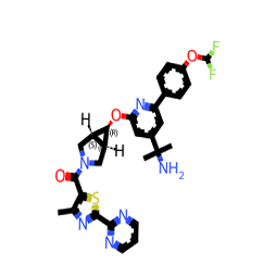 Cc1nc(-c2ncccn2)sc1C(=O)N1C[C@@H]2[C@H](C1)[C@@H]2Oc1cc(C(C)(C)N)cc(-c2ccc(OC(F)F)cc2)n1